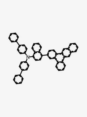 c1ccc(-c2ccc(N(c3ccc(-c4ccccc4)cc3)c3ccc(-c4ccc5c(c4)c4ccccc4c4cc6ccccc6cc54)c4ccccc34)cc2)cc1